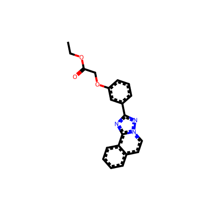 CCOC(=O)COc1cccc(-c2nc3c4ccccc4ccn3n2)c1